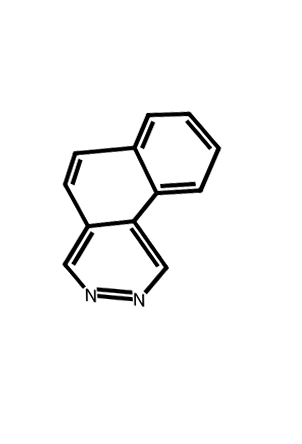 c1ccc2c(c1)ccc1cnncc12